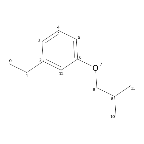 CCc1c[c]cc(OCC(C)C)c1